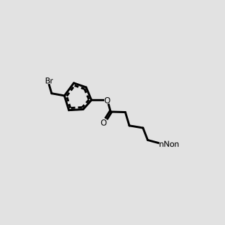 CCCCCCCCCCCCCC(=O)Oc1ccc(CBr)cc1